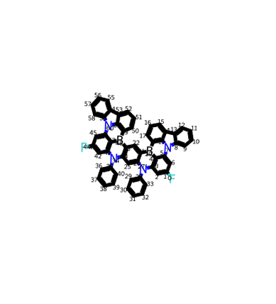 Fc1cc2c3c(c1)-n1c4ccccc4c4cccc(c41)B3c1cc3c(cc1N2c1ccccc1)N(c1ccccc1)c1cc(F)cc2c1B3c1cccc3c4ccccc4n-2c13